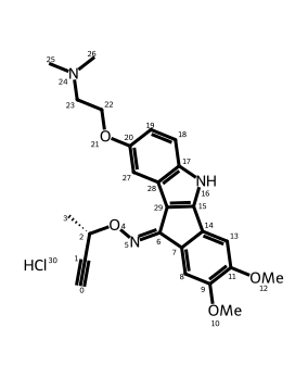 C#C[C@H](C)O/N=C1/c2cc(OC)c(OC)cc2-c2[nH]c3ccc(OCCN(C)C)cc3c21.Cl